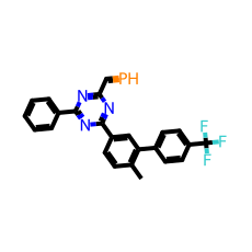 Cc1ccc(-c2nc(C=P)nc(-c3ccccc3)n2)cc1-c1ccc(C(F)(F)F)cc1